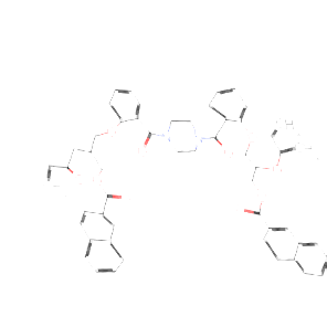 C=CC(=C)OC(COC(=O)c1ccc2ccccc2c1)COc1ccccc1C(=O)N1CCN(C(=O)c2ccccc2OCC(COC(=O)c2ccc3ccccc3c2)CC(=O)C=C)CC1